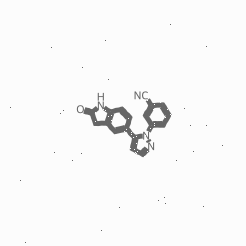 N#Cc1cccc(-n2nccc2-c2ccc3c(c2)CC(=O)N3)c1